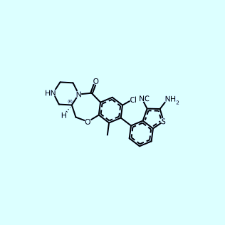 Cc1c2c(cc(Cl)c1-c1cccc3sc(N)c(C#N)c13)C(=O)N1CCNC[C@@H]1CO2